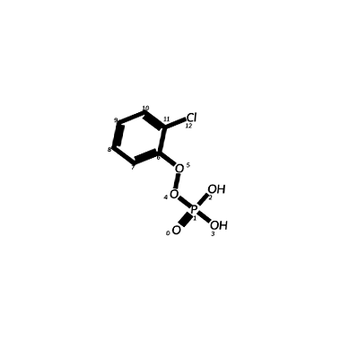 O=P(O)(O)OOc1ccccc1Cl